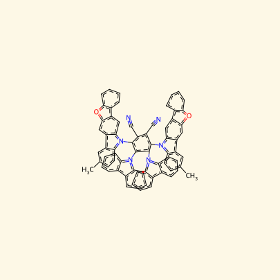 Cc1ccc2c(c1)c1cc3oc4ccccc4c3cc1n2-c1c(C#N)c(C#N)c(-n2c3ccc(C)cc3c3cc4oc5ccccc5c4cc32)c(-n2c3ccccc3c3ccccc32)c1-n1c2ccccc2c2ccccc21